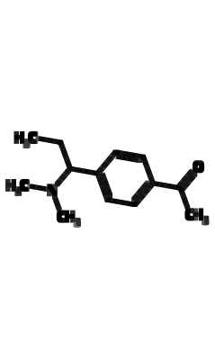 CCC(c1ccc(C(C)=O)cc1)N(C)C